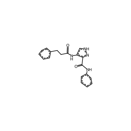 O=C(CCc1ccccc1)Nc1c[nH]nc1C(=O)Nc1ccccc1